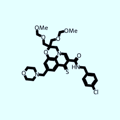 COCOCC1(COCOC)Cn2cc(C(=O)NCc3ccc(Cl)cc3)c(=S)c3cc(CN4CCOCC4)cc(c32)O1